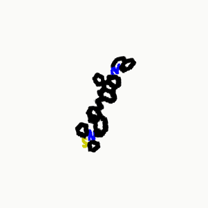 C1=C=c2c(N3c4ccccc4Sc4ccccc43)cccc2=C(/C=C/C2=CC=C3c4ccc(N5CCCc6ccccc65)cc4C4(CCCC4)C3C2)C=1